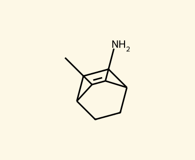 CC1=C(N)C2CCC1CC2